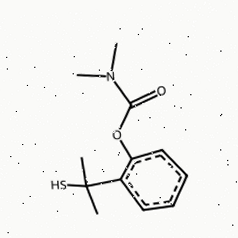 CN(C)C(=O)Oc1ccccc1C(C)(C)S